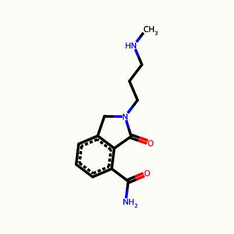 CNCCCN1Cc2cccc(C(N)=O)c2C1=O